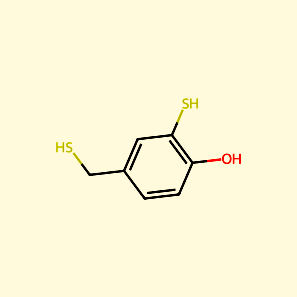 Oc1ccc(CS)cc1S